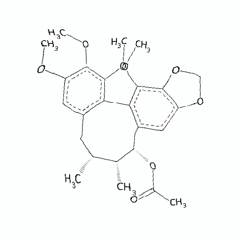 COc1cc2c(c(OC)c1OC)-c1c(cc3c(c1OC)OCO3)[C@H](OC(C)=O)[C@H](C)[C@H](C)C2